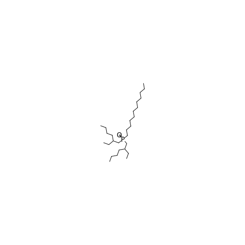 CCCCCCCCCCCCP(=O)(CC(CC)CCCC)CC(CC)CCCC